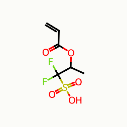 C=CC(=O)OC(C)C(F)(F)S(=O)(=O)O